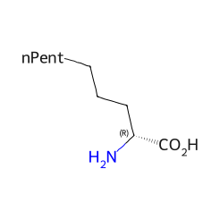 CCCCCCCC[C@@H](N)C(=O)O